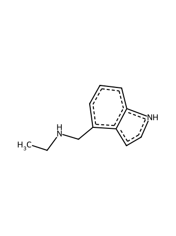 CCNCc1cccc2[nH]ccc12